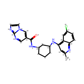 O=C(N[C@@H]1CCC[C@H](Nc2cc(C(F)(F)F)nc3ccc(Cl)cc23)C1)c1cnc2nccn2c1